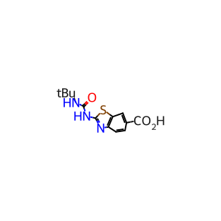 CC(C)(C)NC(=O)Nc1nc2ccc(C(=O)O)cc2s1